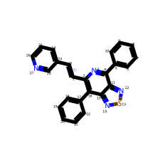 C(=C\c1nc(-c2ccccc2)c2nsnc2c1-c1ccccc1)/c1cccnc1